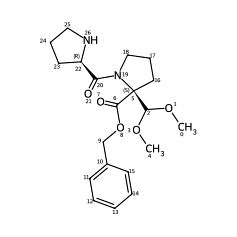 COC(OC)[C@]1(C(=O)OCc2ccccc2)CCCN1C(=O)[C@H]1CCCN1